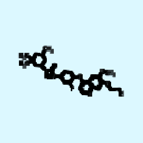 COc1cc2c(Oc3ccc(NC(=O)NC4CC(C)CC(C)(C)C4)cc3F)ccnc2cc1OCCCl